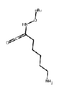 CCCCONC(=C=O)CCCCCN